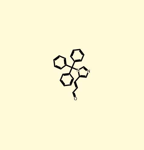 O=CC=Cc1cncn1C(c1ccccc1)(c1ccccc1)c1ccccc1